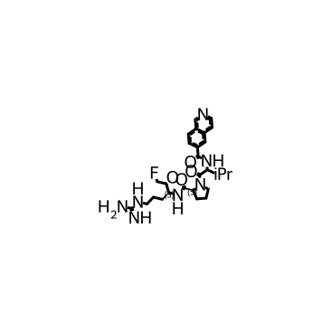 CC(C)C(NC(=O)c1ccc2cnccc2c1)C(=O)N1CCC[C@H]1C(=O)N[C@@H](CCCNC(=N)N)C(=O)CF